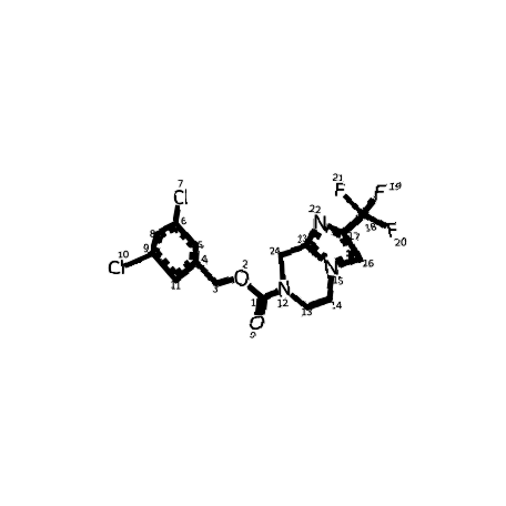 O=C(OCc1cc(Cl)cc(Cl)c1)N1CCn2cc(C(F)(F)F)nc2C1